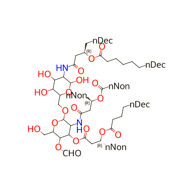 CCCCCCCCCCCCCCCC(=O)O[C@H](CCCCCCCCCCC)CC(=O)NC1C(O)OC(COC2OC(CO)C(OC=O)C(OC(=O)C[C@@H](CCCCCCCCC)OC(=O)CCCCCCCCCCCCC)C2NC(=O)C[C@@H](CCCCCCCCC)OC(=O)CCCCCCCCC)C(O)C1O